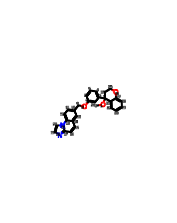 COC1(c2cccc(OCc3ccc4c(ccc5nccn54)c3)c2)CCOc2ccccc21